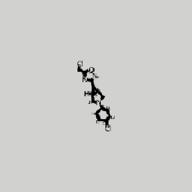 ClCc1nc(C2C3CN(c4ccc(Cl)cc4)C[C@@H]32)no1